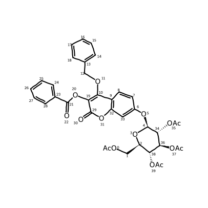 CC(=O)OC[C@H]1O[C@@H](Oc2ccc3c(OCc4ccccc4)c(OC(=O)c4ccccc4)c(=O)oc3c2)[C@H](OC(C)=O)[C@@H](OC(C)=O)[C@@H]1OC(C)=O